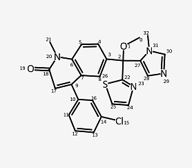 COC(c1ccc2c(c1)c(-c1cccc(Cl)c1)cc(=O)n2C)(c1nccs1)c1cncn1C